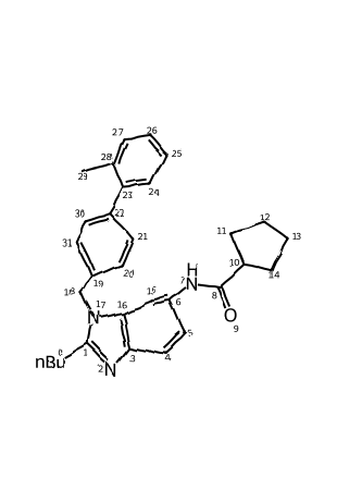 CCCCc1nc2ccc(NC(=O)C3CCCC3)cc2n1Cc1ccc(-c2ccccc2C)cc1